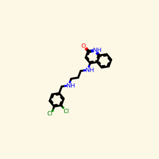 O=c1cc(NCCCNCc2ccc(Cl)c(Cl)c2)c2ccccc2[nH]1